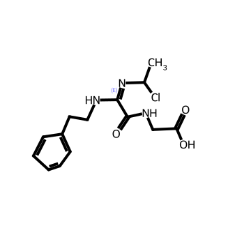 CC(Cl)/N=C(/NCCc1ccccc1)C(=O)NCC(=O)O